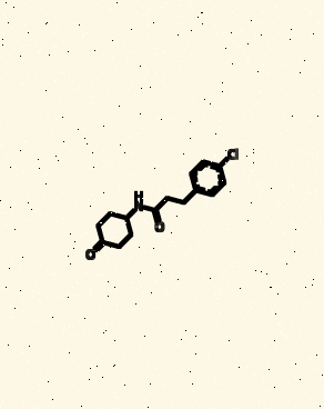 O=C1CCC(NC(=O)CCc2ccc(Cl)cc2)CC1